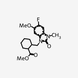 COC(=O)C1CCCCC1Cn1c(=O)n(C)c2cc(F)c(OC)cc21